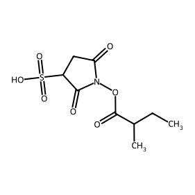 CCC(C)C(=O)ON1C(=O)CC(S(=O)(=O)O)C1=O